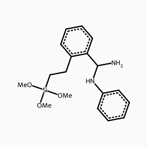 CO[Si](CCc1ccccc1C(N)Nc1ccccc1)(OC)OC